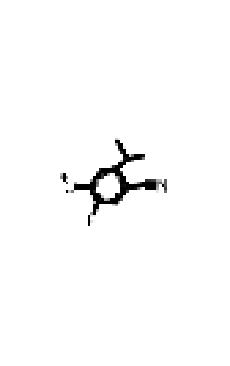 COc1cc(C(C)C)c(C#N)cc1F